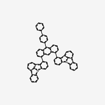 c1ccc(-c2ccc(-c3c4cccc(-c5cccc6c5c5cccc7c8ccccc8n6c75)c4cc4c(-c5cccc6c5c5cccc7c8ccccc8n6c75)cccc34)cc2)cc1